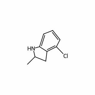 CC1Cc2c(Cl)cccc2N1